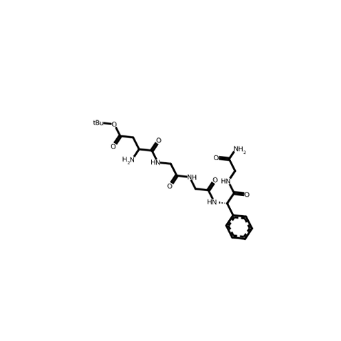 CC(C)(C)OC(=O)CC(N)C(=O)NCC(=O)NCC(=O)N[C@H](C(=O)NCC(N)=O)c1ccccc1